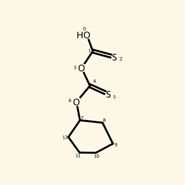 OC(=S)OC(=S)OC1CCCCC1